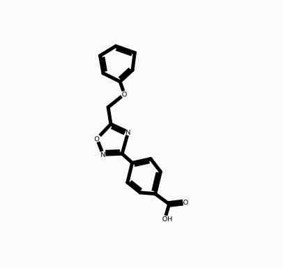 O=C(O)c1ccc(-c2noc(COc3ccccc3)n2)cc1